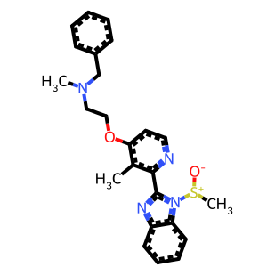 Cc1c(OCCN(C)Cc2ccccc2)ccnc1-c1nc2ccccc2n1[S+](C)[O-]